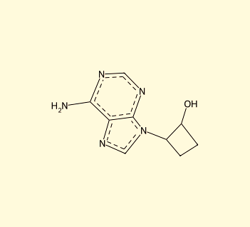 Nc1ncnc2c1ncn2C1CCC1O